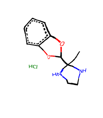 CC1(C2Oc3ccccc3O2)NCCN1.Cl